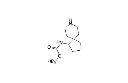 CCCCOC(=O)NC1CCCC12CCNCC2